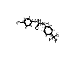 O=C(Nc1ccc(F)cc1)Nc1ccc(C(F)(F)F)cc1